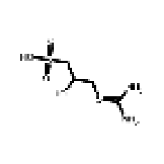 NC(N)=[S+]CC(O)CS(=O)(=O)O